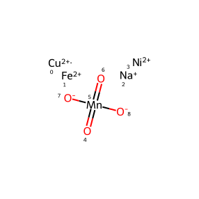 [Cu+2].[Fe+2].[Na+].[Ni+2].[O]=[Mn](=[O])([O-])[O-]